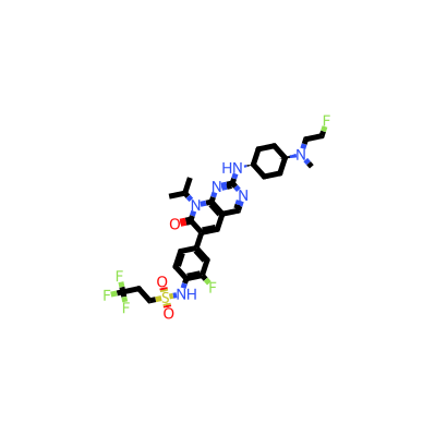 CC(C)n1c(=O)c(-c2ccc(NS(=O)(=O)CCC(F)(F)F)c(F)c2)cc2cnc(N[C@H]3CC[C@H](N(C)CCF)CC3)nc21